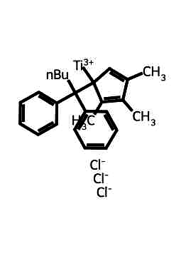 CCCCC(c1ccccc1)(c1ccccc1)[C]1([Ti+3])C=C(C)C(C)=C1C.[Cl-].[Cl-].[Cl-]